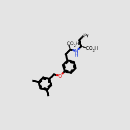 Cc1cc(C)cc(COc2cccc(C[C@H](N[C@@H](CC(C)C)C(=O)O)C(=O)O)c2)c1